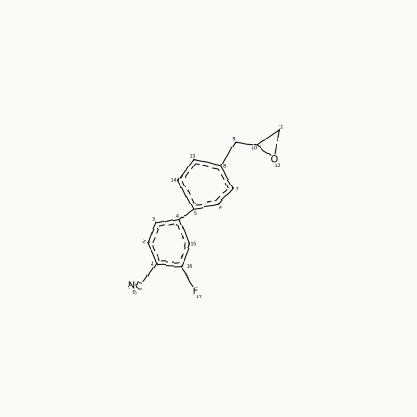 N#Cc1ccc(-c2ccc(CC3CO3)cc2)cc1F